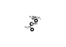 Cc1ccc(Nc2nccc(N(C)c3ccccc3)n2)cc1S(N)(=O)=O